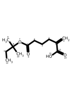 C=C(CCCC(=O)OC(C)(C)CC)C(=O)O